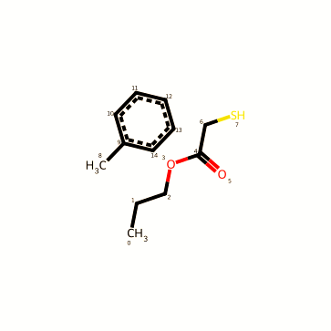 CCCOC(=O)CS.Cc1ccccc1